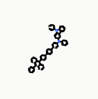 c1ccc(-c2c3ccccc3c(-c3ccc(-c4ccc(-c5ccc(N(c6ccccc6)c6ccc7c(c6)c6ccccc6n7-c6ccccc6)cc5)cc4)cc3)c3ccccc23)cc1